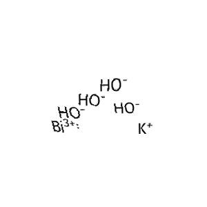 [Bi+3].[K+].[OH-].[OH-].[OH-].[OH-]